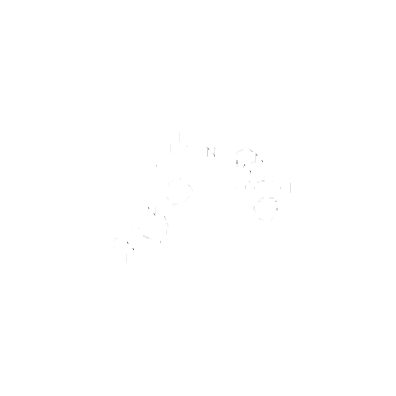 O=C1CC[C@H](N2Cc3c(ccc4c3OCC43CCN(Cc4cnn(S(=O)(=O)c5ccccc5Cl)c4)CC3(F)F)C2=O)C(=O)N1